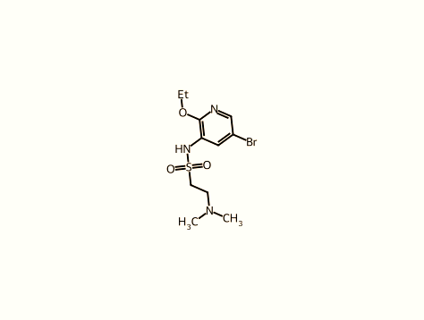 [CH2]COc1ncc(Br)cc1NS(=O)(=O)CCN(C)C